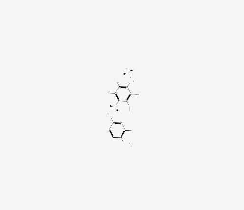 COc1ccc(NS(=O)(=O)c2c(F)c(F)c(NS(=O)(=O)C(F)(F)F)c(F)c2F)cc1O